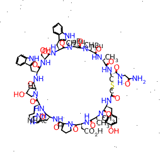 CCCC[C@H]1C(=O)N(C)[C@@H](CCCC)C(=O)N[C@@H](C)C(=O)N[C@H](C(=O)NCC(N)=O)CSCC(=O)N[C@@H](Cc2ccc(O)cc2)C(=O)N(C)[C@@H](C)C(=O)N[C@@H](CC(=O)O)C(=O)N2CCC[C@H]2C(=O)N[C@@H](Cc2cnc[nH]2)C(=O)N[C@@H](CCCNC(C)=O)C(=O)N2C[C@H](O)C[C@H]2C(=O)N[C@@H](Cc2c[nH]c3ccccc23)C(=O)N[C@@H](CO)C(=O)N[C@@H](Cc2c[nH]c3ccccc23)C(=O)N1C